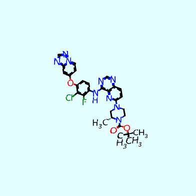 C[C@@H]1CN(c2ccc3ncnc(Nc4ccc(Oc5ccn6ncnc6c5)c(Cl)c4F)c3n2)CCN1C(=O)OC(C)(C)C